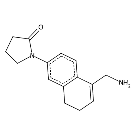 NCC1=CCCc2cc(N3CCCC3=O)ccc21